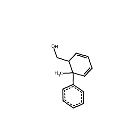 CC1(c2ccccc2)C=CC=CC1CO